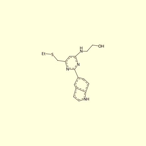 CCSCc1cc(NCCO)nc(-c2ccc3[nH]ccc3c2)n1